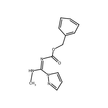 CN/C(=N/C(=O)OCc1ccccc1)n1cccn1